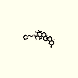 C=C[C@]12CC(C(=O)NCCN3CCCC3)C(=O)C(C)(C)C1CC[C@]1(C)C2CC=C2C3CC(=C)CC[C@]3(C)CC[C@]21C